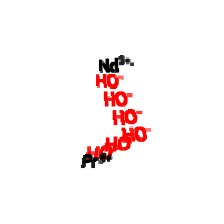 [Nd+3].[OH-].[OH-].[OH-].[OH-].[OH-].[OH-].[Pr+3]